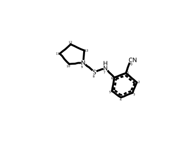 N#Cc1ccccc1NSN1CCCC1